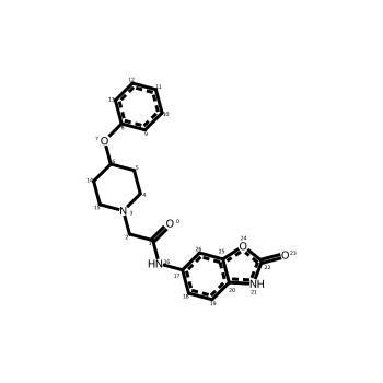 O=C(CN1CCC(Oc2ccccc2)CC1)Nc1ccc2[nH]c(=O)oc2c1